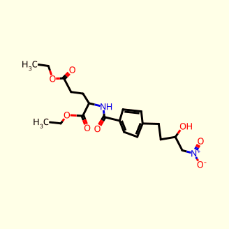 CCOC(=O)CCC(NC(=O)c1ccc(CCC(O)C[N+](=O)[O-])cc1)C(=O)OCC